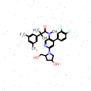 CN(C(=O)C(C)(C)c1cc(C(F)(F)F)cc(C(F)(F)F)c1)c1cnc(N2CC(O)CC2CO)cc1-c1ccc(F)c(F)c1